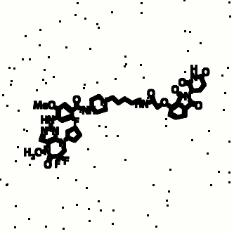 COc1cc(C(=O)NC2CCN(CCCCCNC(=O)COc3cccc4c3C(=O)N(C3CCC(=O)NC3=O)C4=O)CC2)c(F)cc1Nc1ncc2c(n1)N(C1CCCC1)CC(F)(F)C(=O)N2C